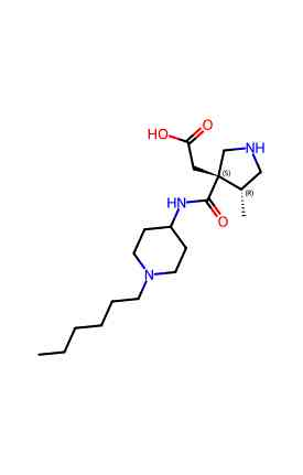 CCCCCCN1CCC(NC(=O)[C@]2(CC(=O)O)CNC[C@@H]2C)CC1